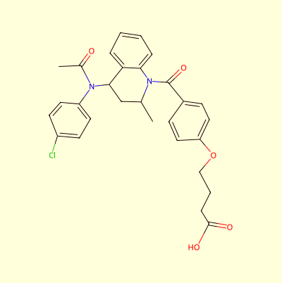 CC(=O)N(c1ccc(Cl)cc1)C1CC(C)N(C(=O)c2ccc(OCCCC(=O)O)cc2)c2ccccc21